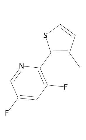 Cc1ccsc1-c1ncc(F)cc1F